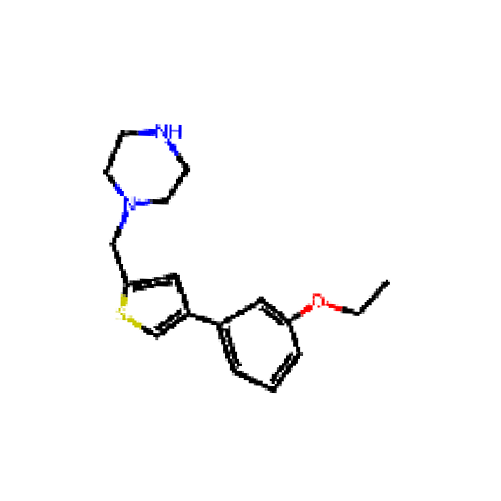 CCOc1cccc(-c2csc(CN3CCNCC3)c2)c1